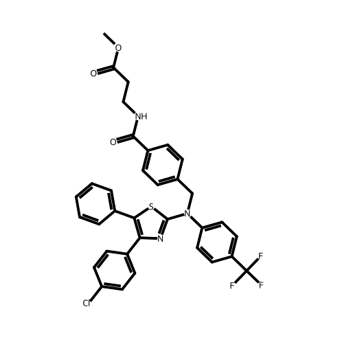 COC(=O)CCNC(=O)c1ccc(CN(c2ccc(C(F)(F)F)cc2)c2nc(-c3ccc(Cl)cc3)c(-c3ccccc3)s2)cc1